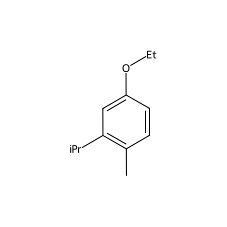 CCOc1ccc(C)c(C(C)C)c1